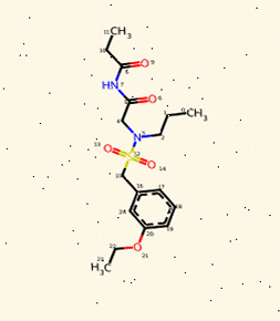 CCCN(CC(=O)NC(=O)CC)S(=O)(=O)Cc1cccc(OCC)c1